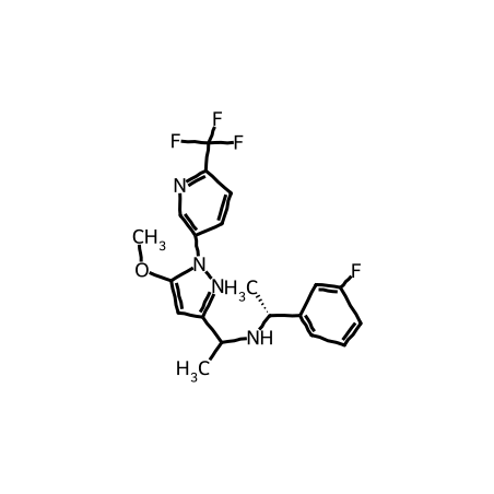 COc1cc(C(C)N[C@H](C)c2cccc(F)c2)nn1-c1ccc(C(F)(F)F)nc1